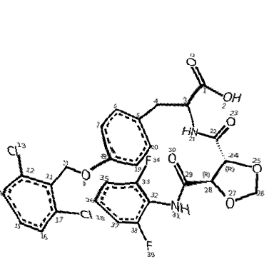 O=C(O)C(Cc1ccc(OCc2c(Cl)cccc2Cl)cc1)NC(=O)[C@@H]1OCO[C@H]1C(=O)Nc1c(F)cccc1F